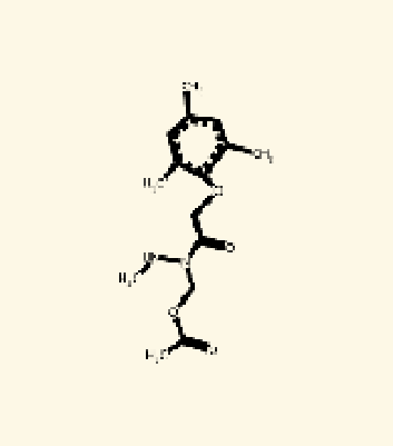 CNN(COC(C)=O)C(=O)COc1c(C)cc(C)cc1C